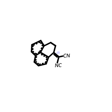 [C-]#[N+]/C(C#N)=C1/CCc2cccc3cccc1c23